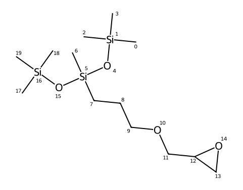 C[Si](C)(C)O[Si](C)(CCCOCC1CO1)O[Si](C)(C)C